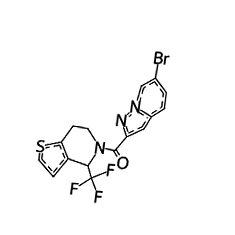 O=C(c1cc2ccc(Br)cn2n1)N1CCc2sccc2C1C(F)(F)F